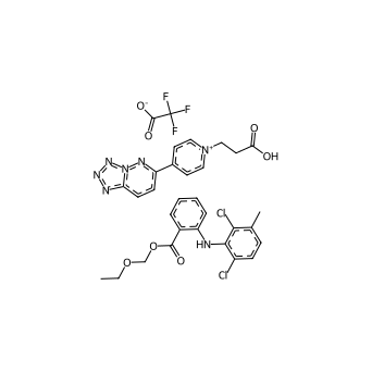 CCOCOC(=O)c1ccccc1Nc1c(Cl)ccc(C)c1Cl.O=C(O)CC[n+]1ccc(-c2ccc3nnnn3n2)cc1.O=C([O-])C(F)(F)F